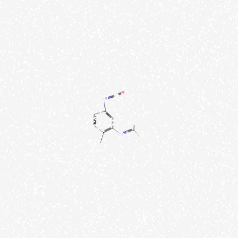 Cc1ccc(N=C=O)cc1N=C(Cl)Cl